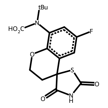 CC(C)(C)N(C(=O)O)c1cc(F)cc2c1OCCC21SC(=O)NC1=O